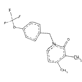 Cc1ccn(Cc2ccc(OC(F)(F)F)cc2)c(=O)c1C